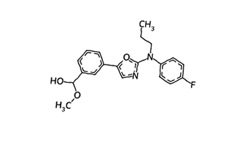 CCCN(c1ccc(F)cc1)c1ncc(-c2cccc(C(O)OC)c2)o1